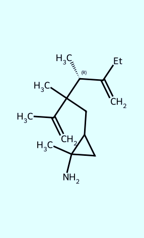 C=C(CC)[C@@H](C)C(C)(CC1CC1(C)N)C(=C)C